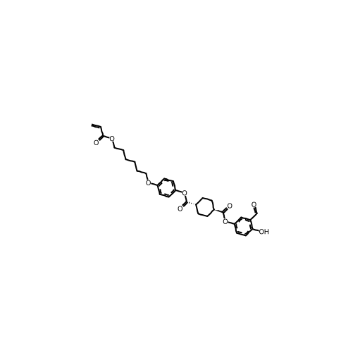 C=CC(=O)OCCCCCCOc1ccc(OC(=O)[C@H]2CC[C@H](C(=O)Oc3ccc(O)c(C=O)c3)CC2)cc1